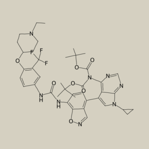 CCN1CCC(Oc2ccc(NC(=O)Nc3ccc(-c4cn(C5CC5)c5ncnc(N(C(=O)OC(C)(C)C)C(=O)OC(C)(C)C)c45)c4cnoc34)cc2C(F)(F)F)CC1